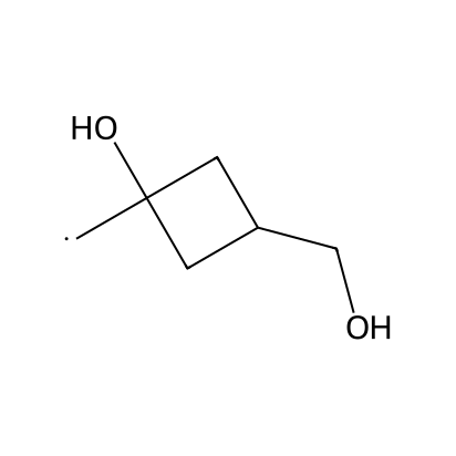 [CH2]C1(O)CC(CO)C1